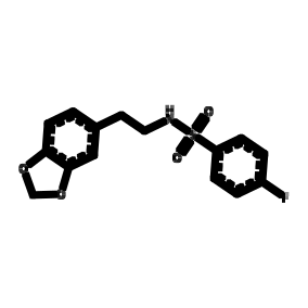 O=S(=O)(NCCc1ccc2c(c1)OCO2)c1ccc(F)cc1